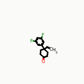 C=CC1(c2cc(F)cc(F)c2)CCC(=O)CC1